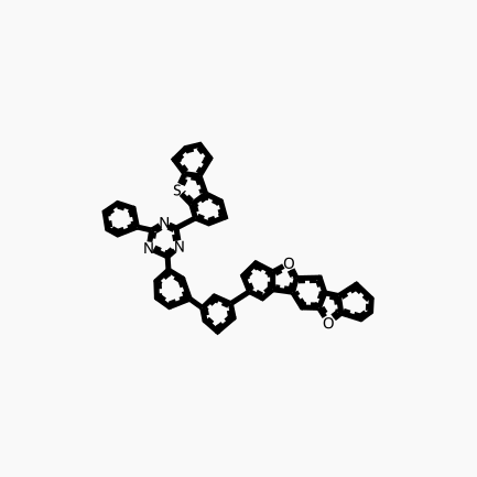 c1ccc(-c2nc(-c3cccc(-c4cccc(-c5ccc6oc7cc8c(cc7c6c5)oc5ccccc58)c4)c3)nc(-c3cccc4c3sc3ccccc34)n2)cc1